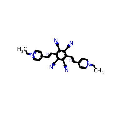 CCN1C=CC(/C=C/c2c(C#N)c(C#N)c(/C=C/c3cc[n+](CC)cc3)c(C#N)c2C#N)=CC1